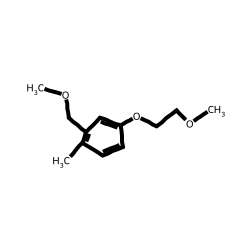 COCCOc1ccc(C)c(COC)c1